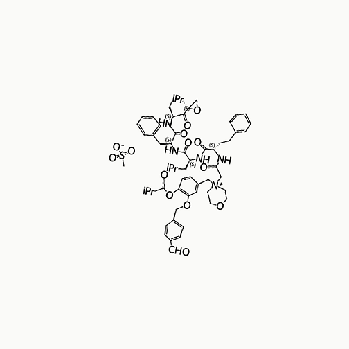 CC(C)C[C@H](NC(=O)[C@H](CCc1ccccc1)NC(=O)C[N+]1(Cc2ccc(OC(=O)C(C)C)c(OCc3ccc(C=O)cc3)c2)CCOCC1)C(=O)N[C@@H](Cc1ccccc1)C(=O)N[C@@H](CC(C)C)C(=O)[C@@]1(C)CO1.CS(=O)(=O)[O-]